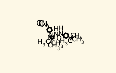 CC(C)(C)c1ccc(NC(=O)Nc2cc(C(C)(C)C)nn2-c2ccc(CN3CCOCC3)cc2)cc1